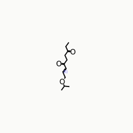 CCC(=O)CCC(=O)/C=C/COC(C)C